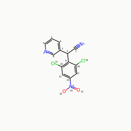 N#CC(c1cccnc1)c1c(Cl)cc([N+](=O)[O-])cc1Cl